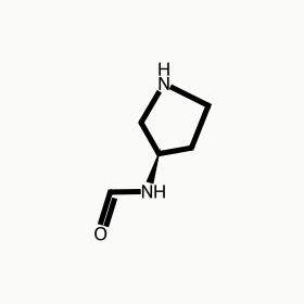 O=CN[C@@H]1CCNC1